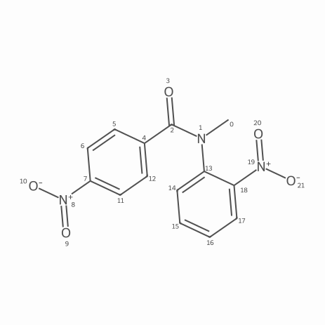 CN(C(=O)c1ccc([N+](=O)[O-])cc1)c1ccccc1[N+](=O)[O-]